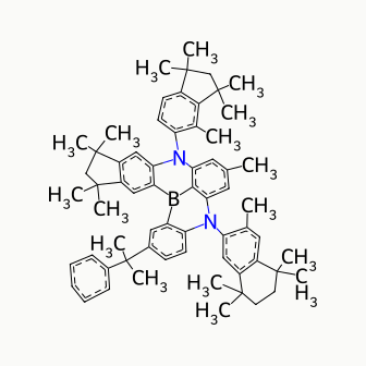 Cc1cc2c3c(c1)N(c1ccc4c(c1C)C(C)(C)CC4(C)C)c1cc4c(cc1B3c1cc(C(C)(C)c3ccccc3)ccc1N2c1cc2c(cc1C)C(C)(C)CCC2(C)C)C(C)(C)CC4(C)C